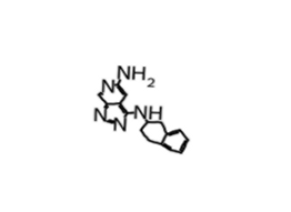 Nc1cc2c(NC3CCc4ccccc4C3)ncnc2cn1